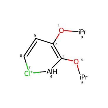 CC(C)OC1=[C](OC(C)C)[AlH][Cl+]C=C1